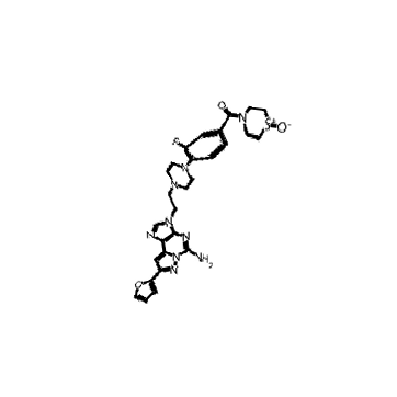 Nc1nc2c(ncn2CCN2CCN(c3ccc(C(=O)N4CC[S+]([O-])CC4)cc3F)CC2)c2cc(-c3ccco3)nn12